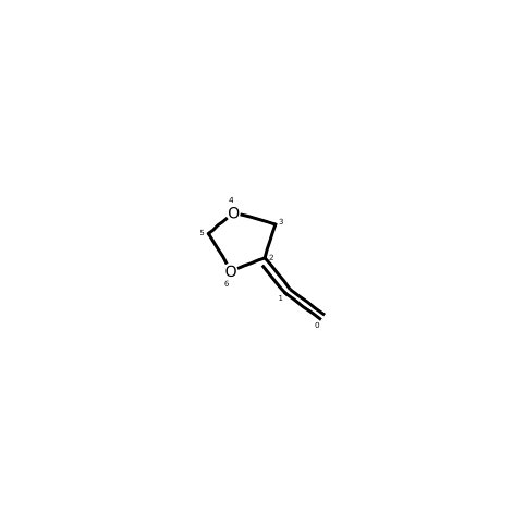 C=C=C1COCO1